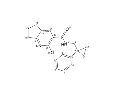 O=C(NCC1(c2ccccc2)CC1)c1cc2c(nc1Cl)CCC2